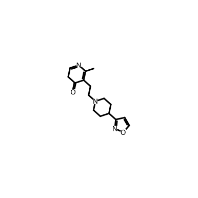 CC1=C(CCN2CCC(c3ccon3)CC2)C(=O)CC=N1